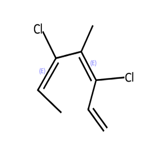 C=C/C(Cl)=C(C)\C(Cl)=C/C